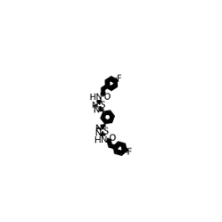 O=C(Cc1ccc(F)cc1)Nc1nnc([C@@H]2CCC[C@@H](c3nnc(NC(=O)Cc4ccc(F)cc4)s3)C2)s1